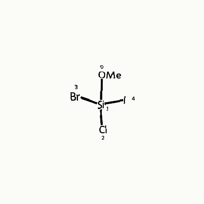 CO[Si](Cl)(Br)I